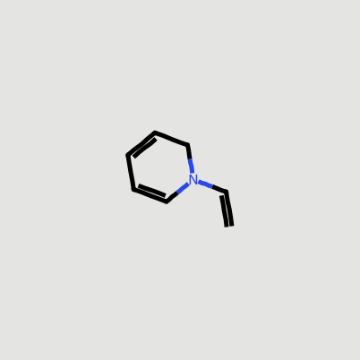 C=CN1C=CC=CC1